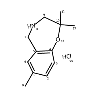 Cc1ccc2c(c1)CNCC(C)(C)O2.Cl